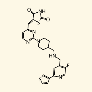 O=C1NC(=O)C(=Cc2ccnc(N3CCC(CNCc4cc(-c5ccsc5)ncc4F)CC3)n2)S1